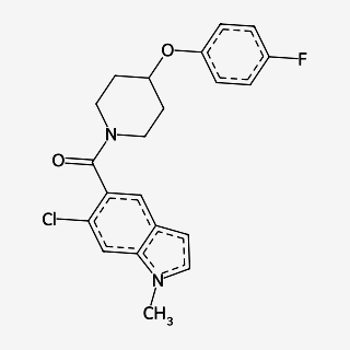 Cn1ccc2cc(C(=O)N3CCC(Oc4ccc(F)cc4)CC3)c(Cl)cc21